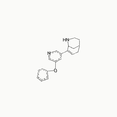 C1=C(c2cncc(Oc3ccccc3)c2)C2CC(C1)CCN2